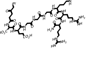 CC(C)CC(=O)CCC(=O)NC(C(=O)O)C(=O)NC(CCC(=O)O)C(=O)NCC(=O)NCC(=O)NCC(=O)NC(CCCNC(=N)N)C(=O)NC(CCCNC(=N)N)C(=O)NC(CCCNC(=N)N)C(N)=O